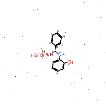 Br.Br.Br.Oc1ccccc1NCc1ccccc1